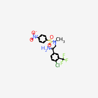 CN(C[C@H](N)c1ccc(Cl)c(C(F)(F)F)c1)S(=O)(=O)c1ccc([N+](=O)[O-])cc1